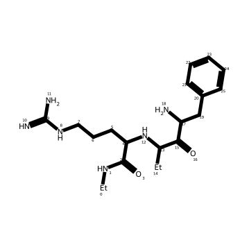 CCNC(=O)C(CCCNC(=N)N)NC(CC)C(=O)C(N)Cc1ccccc1